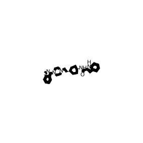 O=C(N[C@H]1CC[C@@H](CCN2CCN(c3nsc4ccccc34)CC2)CC1)c1cc2ccccc2[nH]1